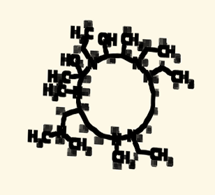 CCN1CCCN(CC)N(CC)C(C)C(O)N(CC)C(C)(O)N(C)C(CN(C)C)CCN1C